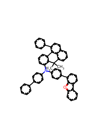 CC1(C)c2c(cccc2N(c2ccc(-c3ccccc3)cc2)c2ccc(-c3cccc4c3oc3ccccc34)cc2)-c2c(-c3ccccc3)ccc3cccc1c23